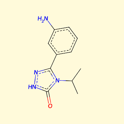 CC(C)n1c(-c2cccc(N)c2)n[nH]c1=O